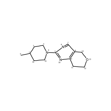 CC1CCN(c2ncc3c(n2)CCOC3)CC1